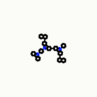 c1ccc(-n2c3ccc(-c4ccc5c(c4)c4cc(-c6cccc7ccccc67)ccc4n5-c4ccc(-n5c6ccccc6c6ccccc65)cc4)cc3c3cc(-c4cccc5ccccc45)ccc32)cc1